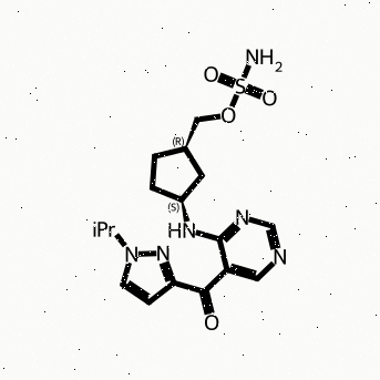 CC(C)n1ccc(C(=O)c2cncnc2N[C@H]2CC[C@@H](COS(N)(=O)=O)C2)n1